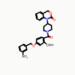 COc1cc(OCc2cccc([N+](=O)[O-])c2)ccc1C(=O)N1CCC(N2C(=O)OCc3ccccc32)CC1